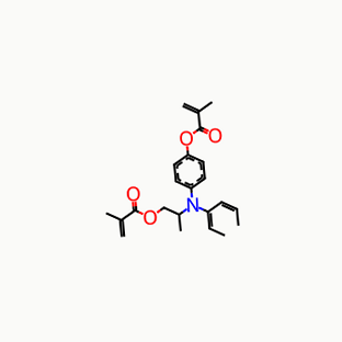 C=C(C)C(=O)OCC(C)N(C(/C=C\C)=C/C)c1ccc(OC(=O)C(=C)C)cc1